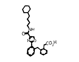 O=C(O)Cc1ccccc1Cc1ccccc1-c1nc(C(=O)NCCCCC2CCCCC2)co1